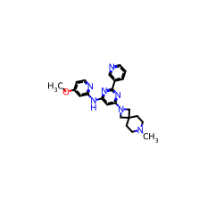 COc1ccnc(Nc2cc(N3CC4(CCN(C)CC4)C3)nc(-c3cccnc3)n2)c1